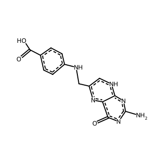 Nc1nc2[nH]cc(CNc3ccc(C(=O)O)cc3)nc-2c(=O)n1